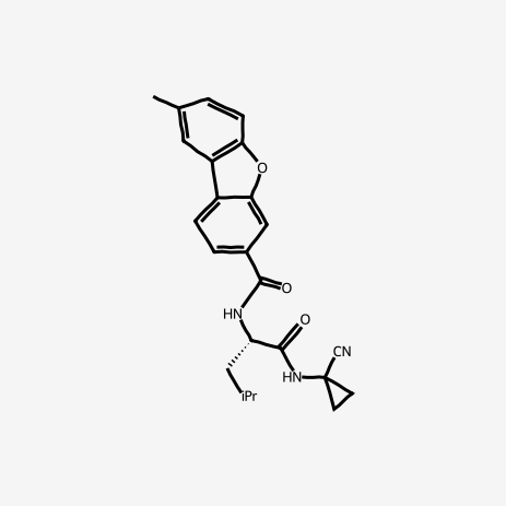 Cc1ccc2oc3cc(C(=O)N[C@@H](CC(C)C)C(=O)NC4(C#N)CC4)ccc3c2c1